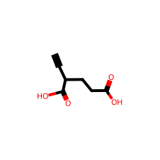 C#CC(CCC(=O)O)C(=O)O